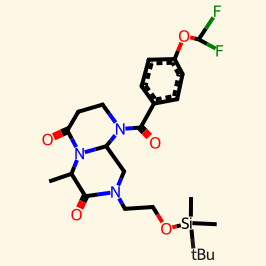 CC1C(=O)N(CCO[Si](C)(C)C(C)(C)C)CC2N(C(=O)c3ccc(OC(F)F)cc3)CCC(=O)N12